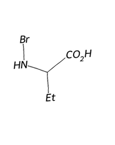 CCC(NBr)C(=O)O